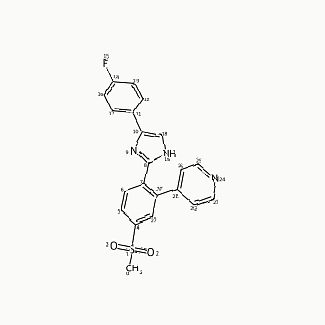 CS(=O)(=O)c1ccc(-c2nc(-c3ccc(F)cc3)c[nH]2)c(-c2ccncc2)c1